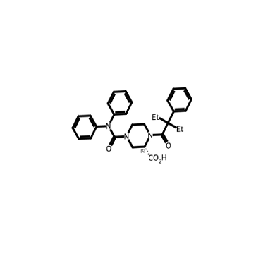 CCC(CC)(C(=O)N1CCN(C(=O)N(c2ccccc2)c2ccccc2)C[C@H]1C(=O)O)c1ccccc1